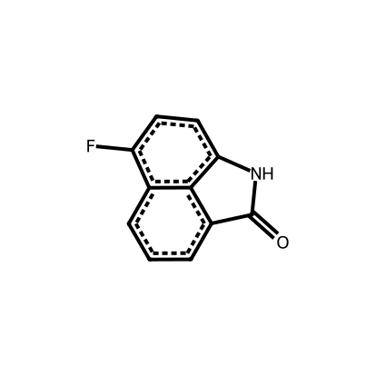 O=C1Nc2ccc(F)c3cccc1c23